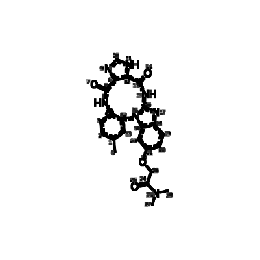 Cc1ccc2[nH]c(=O)c3nc[nH]c3c(=O)[nH]c3nc4ccc(OCC(=O)N(C)C)cc4n3c2c1